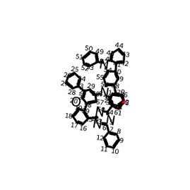 c1ccc(-c2nc(-c3ccccc3)nc(-c3cccc4oc5c(-c6ccccc6)cc(-n6c7ccccc7c7cc8c9ccccc9n(-c9ccccc9)c8cc76)cc5c34)n2)cc1